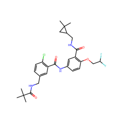 CC(C)(C)C(=O)NCc1ccc(Cl)c(C(=O)Nc2ccc(OCC(F)F)c(C(=O)NCC3CC3(C)C)c2)c1